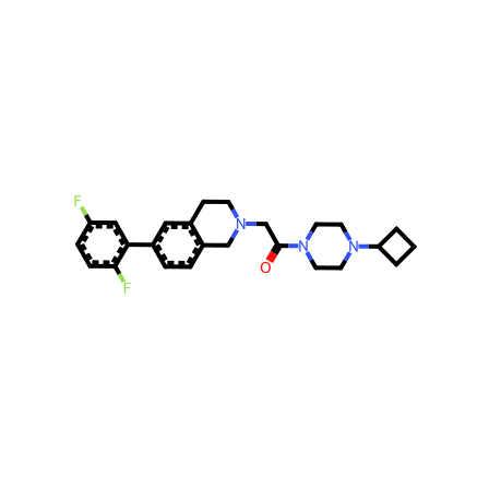 O=C(CN1CCc2cc(-c3cc(F)ccc3F)ccc2C1)N1CCN(C2CCC2)CC1